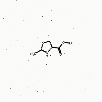 CCOC(=O)C1CSC(C)N1